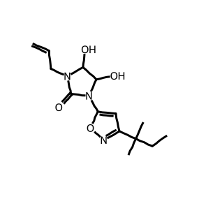 C=CCN1C(=O)N(c2cc(C(C)(C)CC)no2)C(O)C1O